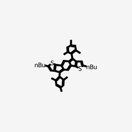 CCCCc1cc2c(s1)-c1cc3c(cc1=C2c1c(C)cc(C)cc1C)-c1sc(CCCC)cc1C=3c1c(C)cc(C)cc1C